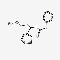 CCOCCC(OC(=O)Oc1ccccc1)c1ccccc1